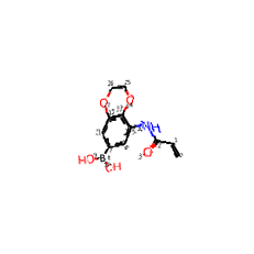 C=CC(=O)Nc1cc(B(O)O)cc2c1OCCO2